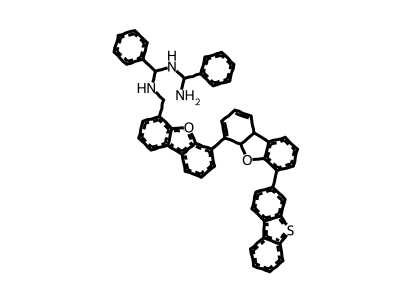 NC(NC(NCc1cccc2c1oc1c(C3=CC=CC4c5cccc(-c6ccc7c(c6)sc6ccccc67)c5OC34)cccc12)c1ccccc1)c1ccccc1